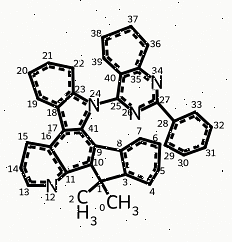 CC1(C)c2ccccc2-c2c1c1ncccc1c1c3ccccc3n(-c3nc(-c4ccccc4)nc4ccccc34)c21